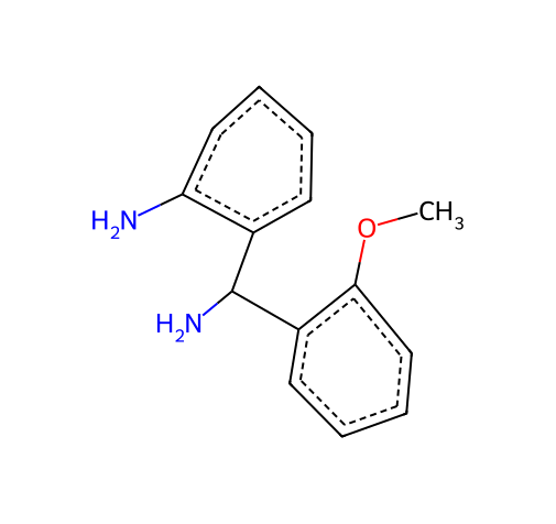 COc1ccccc1C(N)c1ccccc1N